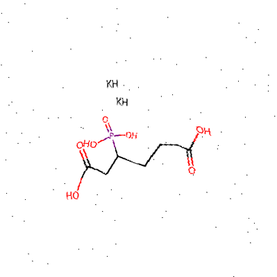 O=C(O)CCC(CC(=O)O)P(=O)(O)O.[KH].[KH]